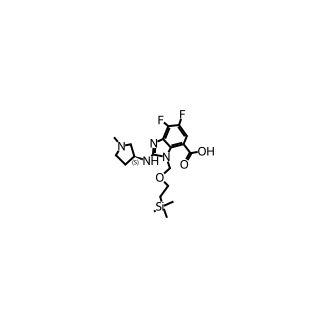 CN1CC[C@H](Nc2nc3c(F)c(F)cc(C(=O)O)c3n2COCC[Si](C)(C)C)C1